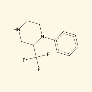 FC(F)(F)C1CNCCN1c1ccccc1